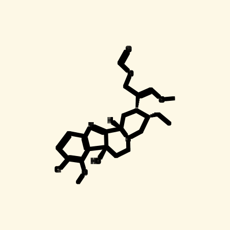 CC[C@@H]1CN2CC[C@@]3(O)C(=Nc4ccc(Cl)c(OC)c43)[C@@H]2C[C@@H]1/C(=C\OC)COC=O